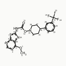 COc1ncnc2sc(NC(=O)ON3CCC(c4cccc(C(F)(F)F)c4)CC3)nc12